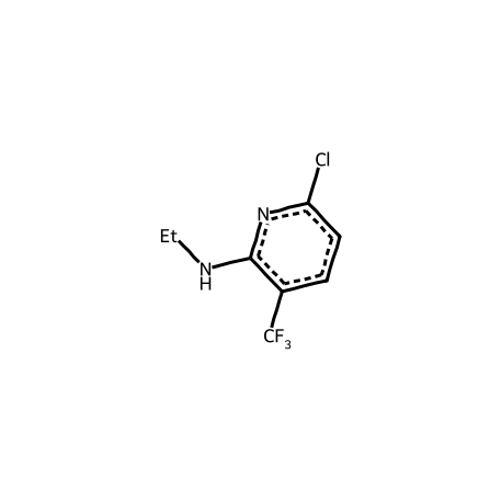 CCNc1nc(Cl)ccc1C(F)(F)F